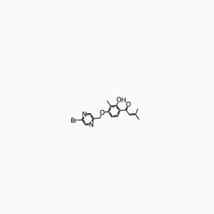 CC(C)=CC(=O)c1ccc(OCc2cnc(Br)cn2)c(C)c1O